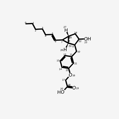 CCCCCC=CC1[C@H]2C(Cc3cccc(OCC(=O)O)c3)C(O)C[C@@H]12